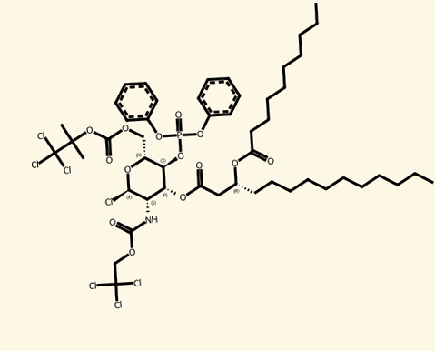 CCCCCCCCCCC[C@H](CC(=O)O[C@@H]1[C@H](NC(=O)OCC(Cl)(Cl)Cl)[C@@H](Cl)O[C@H](COC(=O)OC(C)(C)C(Cl)(Cl)Cl)[C@H]1OP(=O)(Oc1ccccc1)Oc1ccccc1)OC(=O)CCCCCCCCC